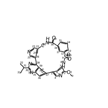 COc1ncc2cc1NS(=O)(=O)c1cccc(c1)C(=O)NCc1cncc(c1)-c1nc(C(C)C)nc3cc-2sc13